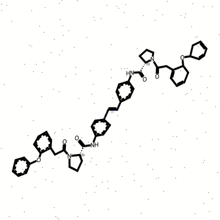 O=C(Nc1ccc(/C=C/c2ccc(NC(=O)[C@@H]3CCCN3C(=O)Cc3ccccc3Oc3ccccc3)cc2)cc1)[C@@H]1CCCN1C(=O)CC1=CC=CCC1OC1C=CC=CC1